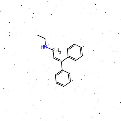 CCN[SiH2]C=C(c1ccccc1)c1ccccc1